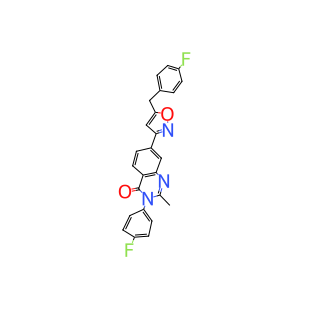 Cc1nc2cc(-c3cc(Cc4ccc(F)cc4)on3)ccc2c(=O)n1-c1ccc(F)cc1